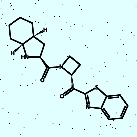 O=C(c1nc2ccccc2s1)[C@H]1CCN1C(=O)[C@@H]1C[C@@H]2CCCC[C@@H]2N1